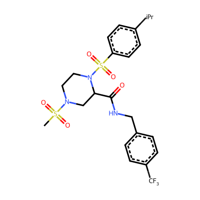 CC(C)c1ccc(S(=O)(=O)N2CCN(S(C)(=O)=O)CC2C(=O)NCc2ccc(C(F)(F)F)cc2)cc1